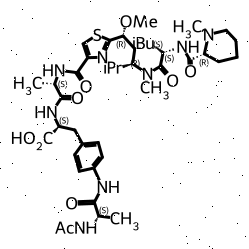 CC[C@H](C)[C@H](NC(=O)[C@H]1CCCCN1C)C(=O)N(C)[C@H](C[C@@H](OC)c1nc(C(=O)N[C@@H](C)C(=O)N[C@@H](Cc2ccc(NC(=O)[C@H](C)NC(C)=O)cc2)C(=O)O)cs1)C(C)C